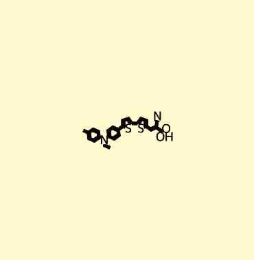 CCN(c1ccc(C)cc1)c1ccc(-c2ccc(-c3ccc(/C=C(\C#N)C(=O)O)s3)s2)cc1